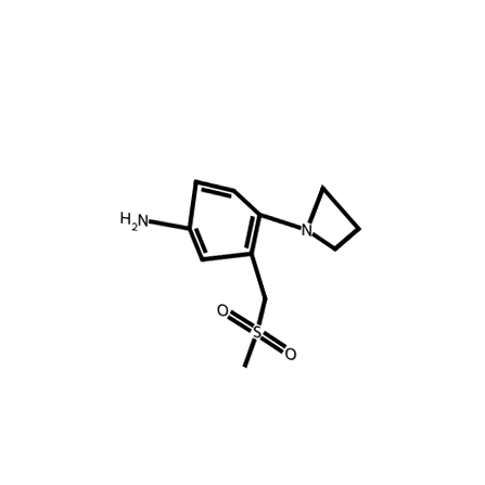 CS(=O)(=O)Cc1cc(N)ccc1N1CCC1